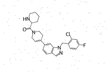 O=C(C1CCCCN1)N1CC=C(c2ccc3cnn(Cc4ccc(F)cc4Cl)c3c2)CC1